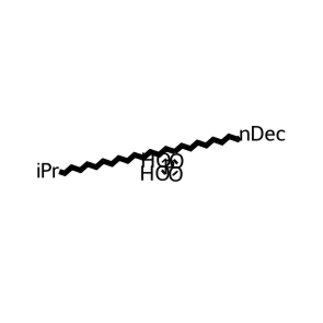 CCCCCCCCCCCCCCCCCCC(CCCCCCCCCCCCCCC(C)C)OP(=O)(O)O